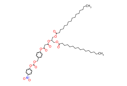 CCCCCCCCCCCCCCCC(=O)OCC(COC(=O)CCCCCCCCCCCCCCC)OC(=O)CC(=O)Oc1ccc(COC(=O)Oc2ccc([N+](=O)[O-])cc2)cc1